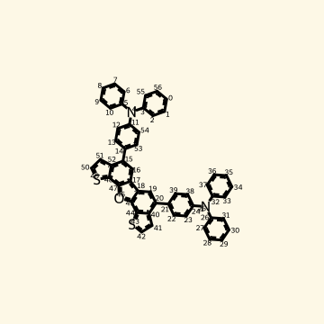 c1ccc(N(c2ccccc2)c2ccc(-c3cc4c5cc(-c6ccc(N(c7ccccc7)c7ccccc7)cc6)c6ccsc6c5oc4c4sccc34)cc2)cc1